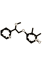 COC(COc1cc[n+]([O-])c(C)c1C)c1ccccn1